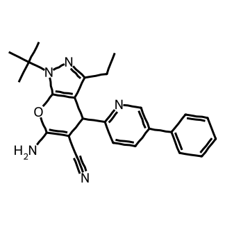 CCc1nn(C(C)(C)C)c2c1C(c1ccc(-c3ccccc3)cn1)C(C#N)=C(N)O2